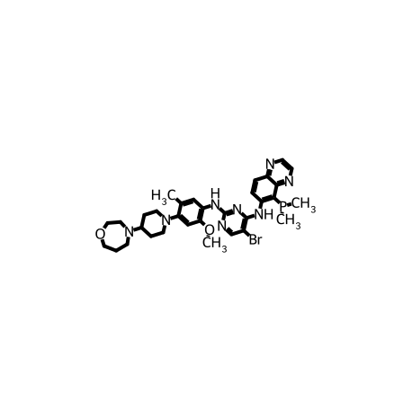 COc1cc(N2CCC(N3CCCOCC3)CC2)c(C)cc1Nc1ncc(Br)c(Nc2ccc3nccnc3c2P(C)C)n1